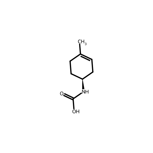 CC1=CC[C@@H](NC(=O)O)CC1